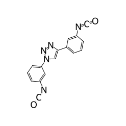 O=C=Nc1cccc(-c2cn(-c3cccc(N=C=O)c3)nn2)c1